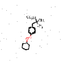 CCOC(=O)C(C)(C)Cc1ccc(OOC2CCCCC2)cc1